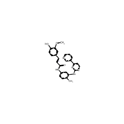 COc1cc(/C=C/C(=O)Nc2ccc(C)c(Nc3nccc(-c4cccnc4)n3)c2)ccc1O